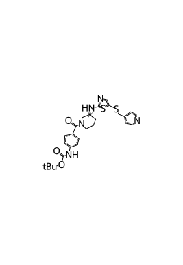 CC(C)(C)OC(=O)Nc1ccc(C(=O)N2CCC[C@@H](Nc3ncc(SCc4ccncc4)s3)C2)cc1